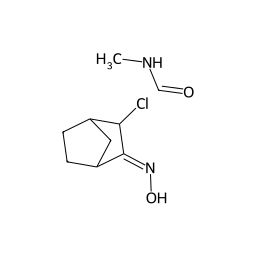 CNC=O.ON=C1C2CCC(C2)C1Cl